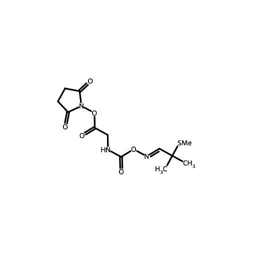 CSC(C)(C)/C=N/OC(=O)NCC(=O)ON1C(=O)CCC1=O